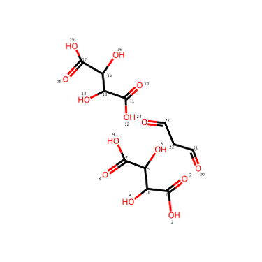 O=C(O)C(O)C(O)C(=O)O.O=C(O)C(O)C(O)C(=O)O.O=[C]CC=O